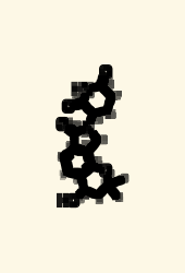 CC1(C)CC(O)c2ccc3c(c2O1)CN(C1CCC(=O)NC1=O)C3=O